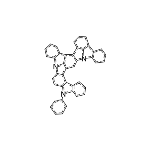 c1ccc(-n2c3ccccc3c3c4c5cc6c(c7cccc8c9ccccc9n6c87)c6c7ccccc7n(c4ccc32)c56)cc1